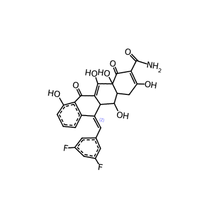 NC(=O)C1=C(O)CC2C(O)C3C(=C(O)C2(O)C1=O)C(=O)c1c(O)cccc1/C3=C\c1cc(F)cc(F)c1